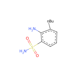 CCCCc1cccc(S(N)(=O)=O)c1N